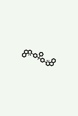 CC(c1ccccc1)(c1ccc(-c2ccc3ccc4ccccc4c3n2)cc1)c1ccc(-c2ccc3ccc4ccccc4c3n2)cc1